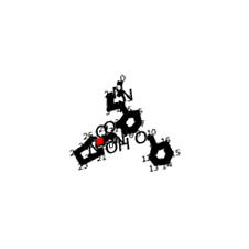 Cn1ccc(-c2ccc(OCc3ccccc3)c3nc(N4CC5CCC(C4)N5C(=O)O)oc23)n1